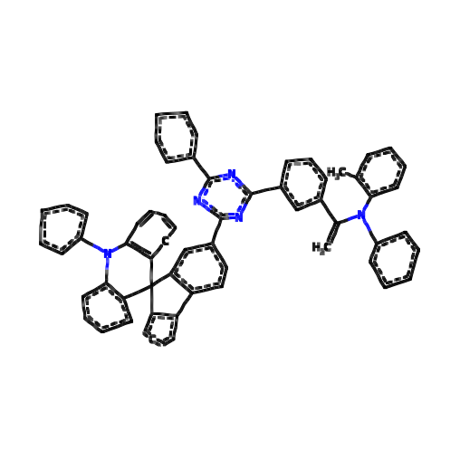 C=C(c1cccc(-c2nc(-c3ccccc3)nc(-c3ccc4c(c3)C3(C5=C(C=CC=CC5)N(c5ccccc5)c5ccccc53)c3ccccc3-4)n2)c1)N(c1ccccc1)c1ccccc1C